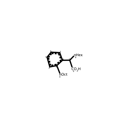 CCCCCCCCc1ccccc1C(CCCCCC)C(=O)O